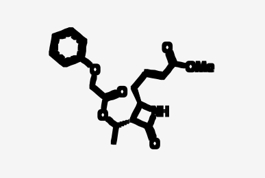 COC(=O)/C=C/C[C@H]1NC(=O)[C@@H]1C(C)OC(=O)COc1ccccc1